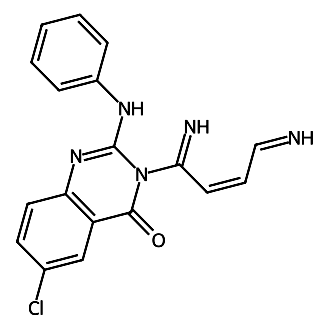 N=C/C=C\C(=N)n1c(Nc2ccccc2)nc2ccc(Cl)cc2c1=O